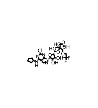 O=P(O)(O)[C@](CO)(COCC(F)(F)F)OC[C@H]1O[C@@H](n2ncc3c(NC4CCCC4)nc(Cl)nc32)[C@H](O)[C@@H]1O